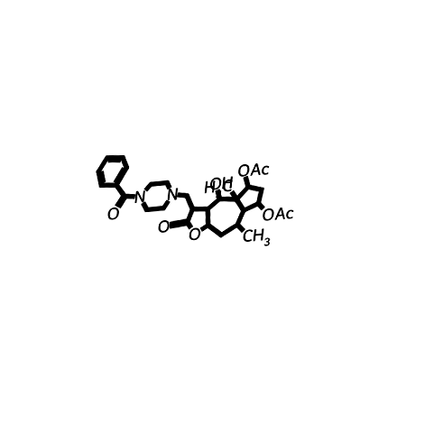 CC(=O)OC1CC(OC(C)=O)C2(C)C(O)C3C(CC(C)C12)OC(=O)C3CN1CCN(C(=O)c2ccccc2)CC1